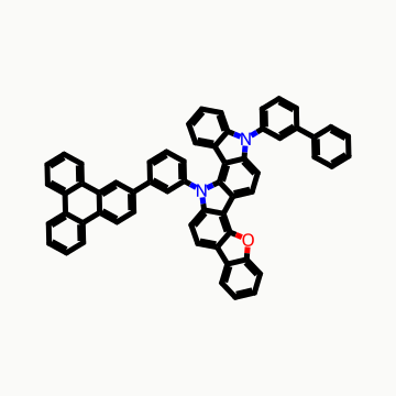 c1ccc(-c2cccc(-n3c4ccccc4c4c3ccc3c5c6oc7ccccc7c6ccc5n(-c5cccc(-c6ccc7c8ccccc8c8ccccc8c7c6)c5)c34)c2)cc1